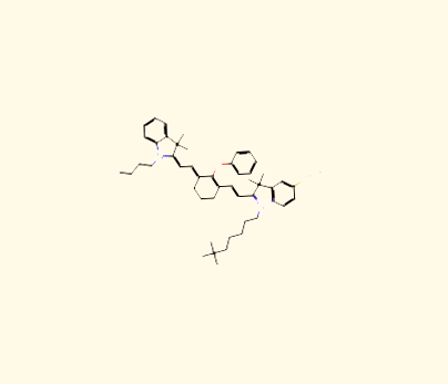 CCCCN1/C(=C/C=C2\CCCC(/C=C/C3=[N+](CCCCCC(C)(C)C)c4ccc(S(=O)(=O)O)cc4C3(C)C)=C2Oc2ccccc2)C(C)(C)c2ccccc21